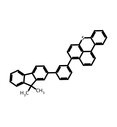 CC1(C)c2ccccc2-c2ccc(-c3cccc(-c4ccc5c6c(cccc46)-c4ccccc4S5)c3)cc21